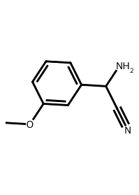 COc1cccc(C(N)C#N)c1